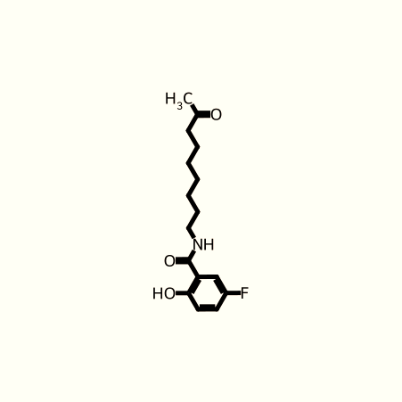 CC(=O)CCCCCCCNC(=O)c1cc(F)ccc1O